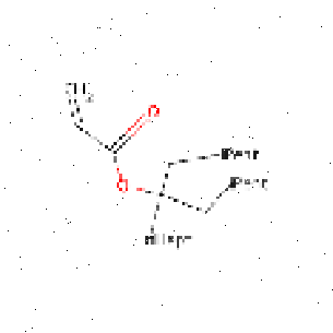 C=CC(=O)OC(CCCCCCC)(CC(C)CCC)CC(C)CCC